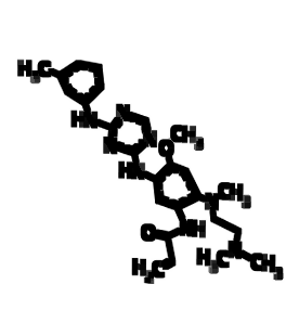 C=CC(=O)Nc1cc(Nc2ncnc(Nc3cccc(C)c3)n2)c(OC)cc1N(C)CCN(C)C